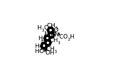 CC1(C)CC[C@]2(C(=O)NCC(=O)O)CC[C@]3(C)C(=CC[C@@H]4[C@@]5(C)CC[C@H](O)[C@@](C)(CO)C5CC[C@]43C)[C@H]2C1